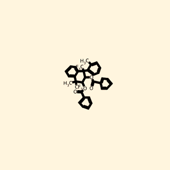 Cc1ccccc1C1(C(F)(F)F)c2ccccc2C(C)(C(F)(F)F)C(OC(=O)c2ccccc2)C1OC(=O)c1ccccc1